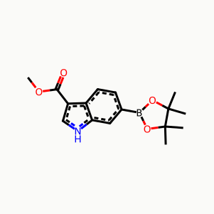 COC(=O)c1c[nH]c2cc(B3OC(C)(C)C(C)(C)O3)ccc12